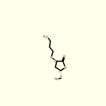 CCCCO[C@@H]1C[C@@H](CO)OC1=O